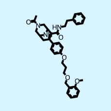 COc1ccccc1COCCCOc1ccc(C2=C(C(=O)NCCc3ccccc3)C3CN(C(C)=O)CC(C2)N3)cc1